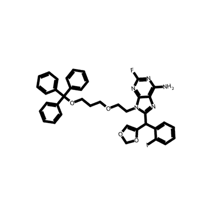 Nc1nc(F)nc2c1nc(C(C1=COCO1)c1ccccc1I)n2CCOCCCOC(c1ccccc1)(c1ccccc1)c1ccccc1